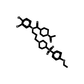 CCOc1ccc(S(=O)(=O)C2CCN(CCCN(C(=O)C3CCN(C(C)=O)CC3)c3ccc(Cl)c(Cl)c3)CC2)cc1